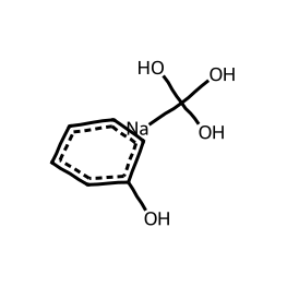 O[C](O)(O)[Na].Oc1ccccc1